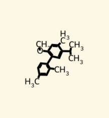 COc1cc(C)c(C(C)C)cc1-c1ccc(C)cc1C